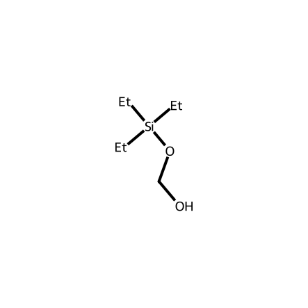 CC[Si](CC)(CC)OCO